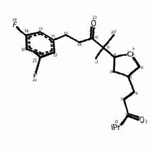 CC(C)C(=O)CCC1COC(C(C)(C)C(=O)CCc2cc(F)cc(F)c2)C1